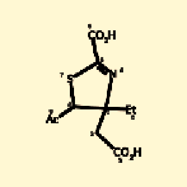 CCC1(CC(=O)O)N=C(C(=O)O)SC1C(C)=O